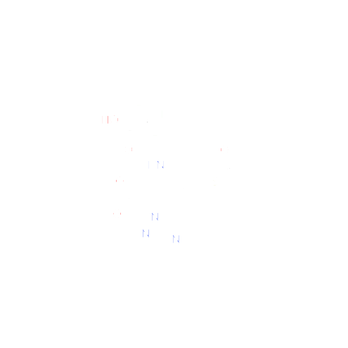 COC(=O)Cn1ncnc1C=C1CNCCC1SC(C)=O.O=C(O)C(F)(F)F